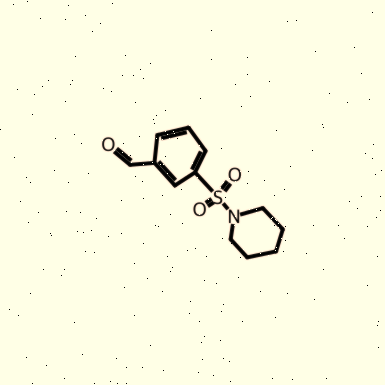 O=Cc1cccc(S(=O)(=O)N2CCCCC2)c1